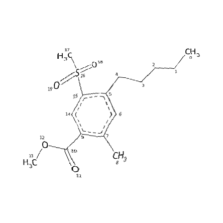 CCCCCc1cc(C)c(C(=O)OC)cc1S(C)(=O)=O